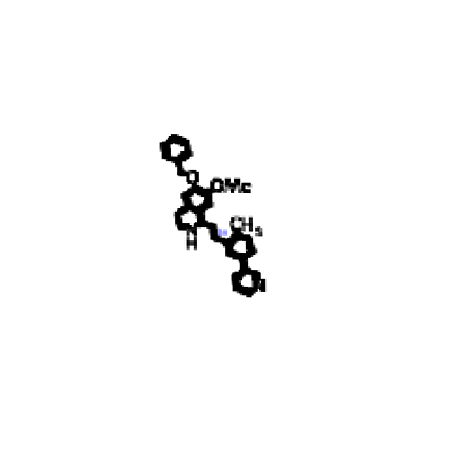 COc1cc2c(cc1OCc1ccccc1)CCNC2/C=C/c1cc(-c2cccnc2)ccc1C